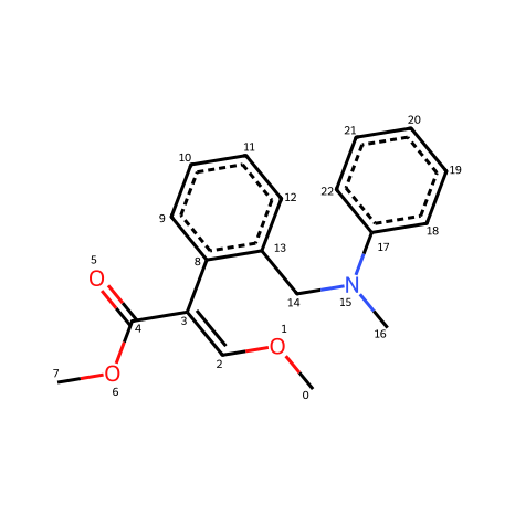 CO/C=C(/C(=O)OC)c1ccccc1CN(C)c1ccccc1